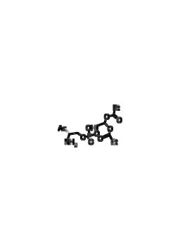 CCC(=O)OC(COP(=O)(O)OC[C@H](N)C(C)=O)OC(=O)CC